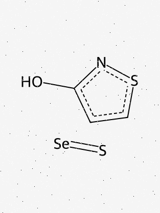 Oc1ccsn1.S=[Se]